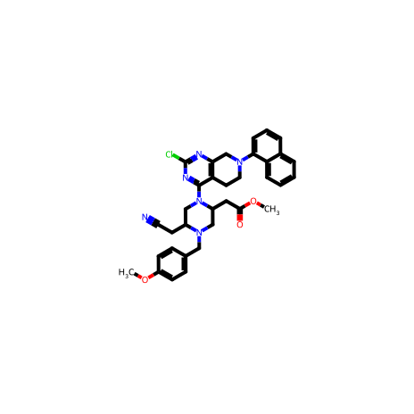 COC(=O)CC1CN(Cc2ccc(OC)cc2)C(CC#N)CN1c1nc(Cl)nc2c1CCN(c1cccc3ccccc13)C2